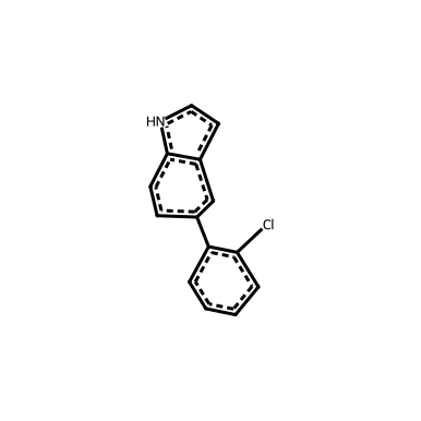 Clc1ccccc1-c1ccc2[nH]ccc2c1